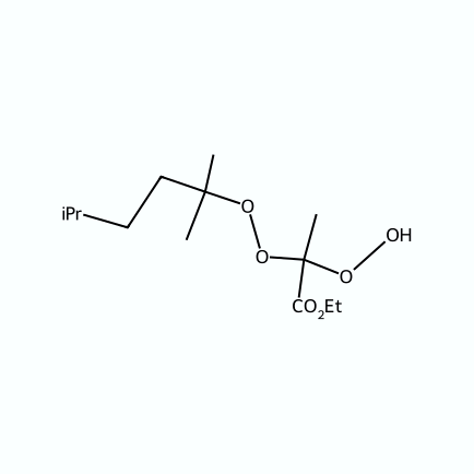 CCOC(=O)C(C)(OO)OOC(C)(C)CCC(C)C